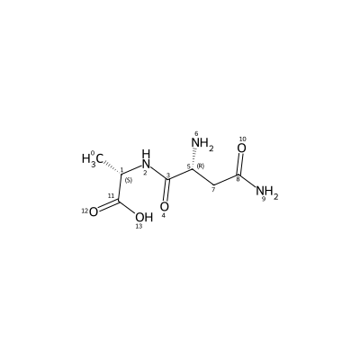 C[C@H](NC(=O)[C@H](N)CC(N)=O)C(=O)O